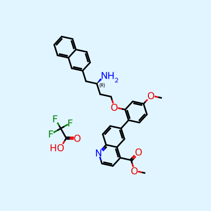 COC(=O)c1ccnc2ccc(-c3ccc(OC)cc3OCC[C@H](N)Cc3ccc4ccccc4c3)cc12.O=C(O)C(F)(F)F